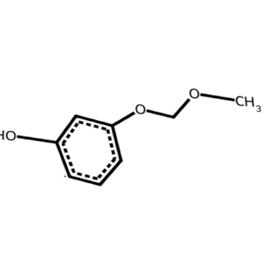 COCOc1cc[c]c(O)c1